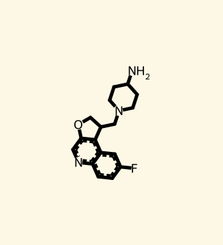 NC1CCN(CC2COc3cnc4ccc(F)cc4c32)CC1